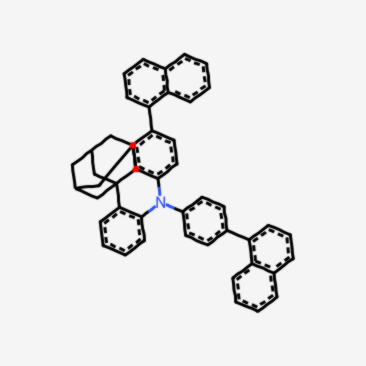 c1ccc(C23CC4CC(CC(C4)C2)C3)c(N(c2ccc(-c3cccc4ccccc34)cc2)c2ccc(-c3cccc4ccccc34)cc2)c1